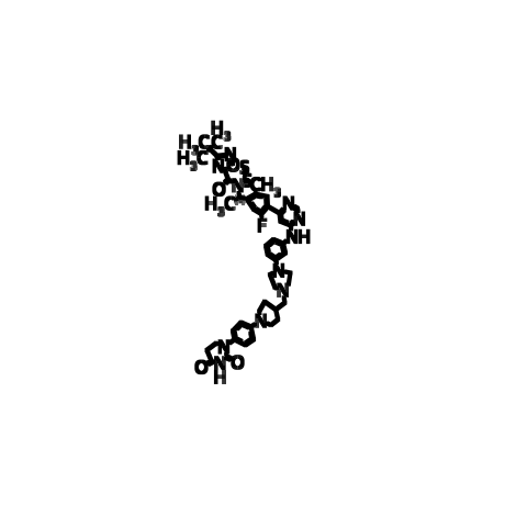 Cc1cc(-c2cc(Nc3cccc(N4CCN(CC5CCN(c6ccc(N7CCC(=O)NC7=O)cc6)CC5)CC4)c3)ncn2)c(F)cc1[C@@H](C)[N+](=S=S)C(=O)c1nc(C(C)(C)C)no1